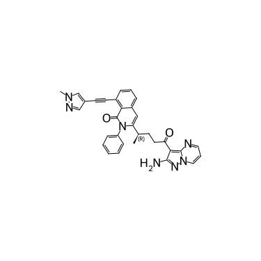 C[C@H](CCC(=O)c1c(N)nn2cccnc12)c1cc2cccc(C#Cc3cnn(C)c3)c2c(=O)n1-c1ccccc1